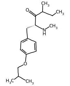 CCC(C)C(=O)[C@@H](Cc1ccc(OCC(C)C)cc1)NC